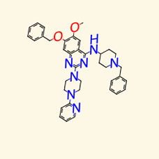 COc1cc2c(NC3CCN(Cc4ccccc4)CC3)nc(N3CCN(c4ccccn4)CC3)nc2cc1OCc1ccccc1